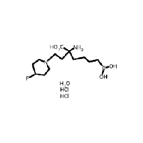 Cl.Cl.NC(CCCCB(O)O)(CCN1CCC(F)CC1)C(=O)O.O